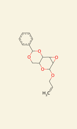 C=CCOC1OC2COC(c3ccccc3)OC2C2OC12